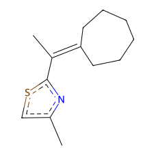 CC(=C1CCCCCC1)c1nc(C)cs1